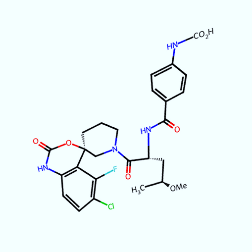 CO[C@@H](C)C[C@@H](NC(=O)c1ccc(NC(=O)O)cc1)C(=O)N1CCC[C@@]2(C1)OC(=O)Nc1ccc(Cl)c(F)c12